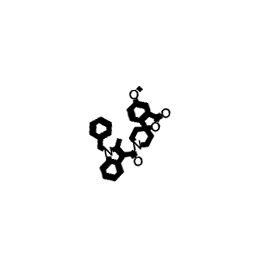 COc1ccc2c(c1)C(=O)OC21CCN(C(=O)c2c(C)n(Cc3ccccc3)c3ccccc23)CC1